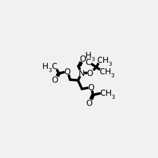 CC(=O)OCC(COC(C)=O)N(C=O)OC(C)(C)C